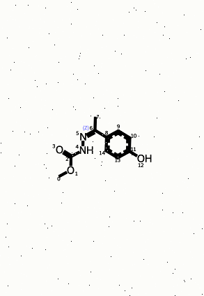 COC(=O)N/N=C(/C)c1ccc(O)cc1